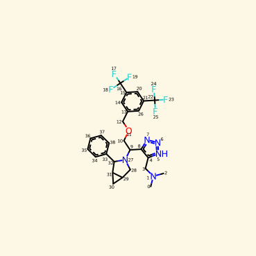 CN(C)Cc1[nH]nnc1C(COCc1cc(C(F)(F)F)cc(C(F)(F)F)c1)N1CC2CC2C1c1ccccc1